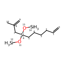 C=CCCCC[Si](CC(=C)C)(O[SiH3])O[SiH3]